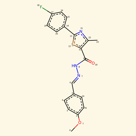 COc1ccc(/C=N/NC(=O)c2sc(-c3ccc(F)cc3)nc2C)cc1